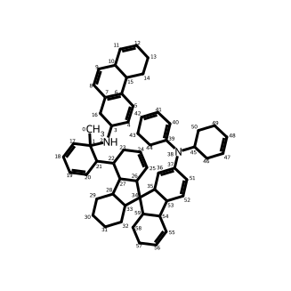 CC1(NC2C=CC3=C(C=CC4C=CCCC34)C2)C=CC=CC1C1CC=CC2C1C1CCCCC1C21C2C=C(N(C3=CC=CCC3)C3CC=CCC3)C=CC2C2C=CCCC21